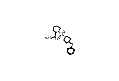 COC(=O)C1CCCCN1S(=O)(=O)N1CCC(Sc2ccccc2)CC1